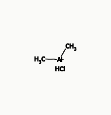 Cl.[CH3][Al][CH3]